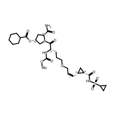 CC(C)(C)OC(=O)N[C@@H](CCCOC/C=C\[C@@H]1C[C@@H]1C(=O)NS(=O)(=O)C1CC1)C(=O)N1C[C@H](OC(=O)C2CCCCC2)C[C@H]1C(N)=O